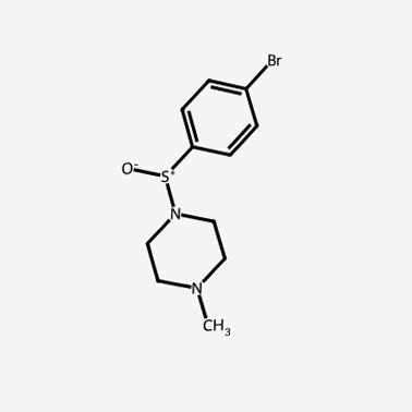 CN1CCN([S+]([O-])c2ccc(Br)cc2)CC1